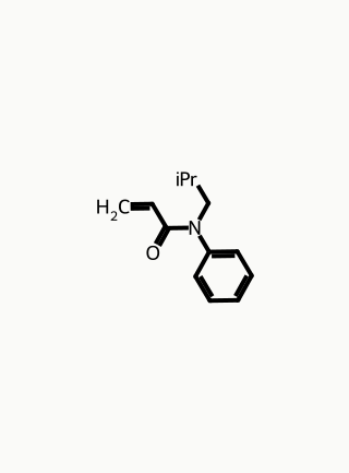 C=CC(=O)N(CC(C)C)c1ccccc1